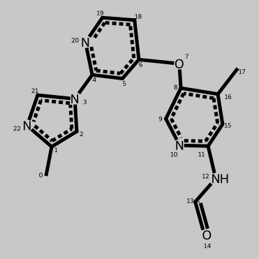 Cc1cn(-c2cc(Oc3cnc(N[C]=O)cc3C)ccn2)cn1